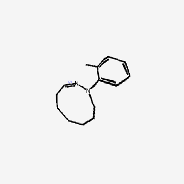 Cc1ccccc1N1CCCCCC/C=N\1